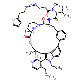 CCn1c(-c2cnccc2COC)c2c3cc(ccc31)-c1cccc(c1)C[C@H](NC(=O)C(C(C)C)N(C)C(=O)CCN=C=NCCc1cccs1)C(=O)N1CCC[C@H](N1)C(=O)OCC(C)(C)C2